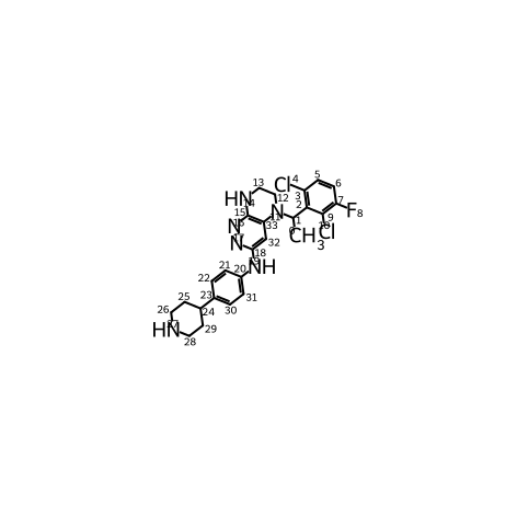 CC(c1c(Cl)ccc(F)c1Cl)N1CCNc2nnc(Nc3ccc(C4CCNCC4)cc3)cc21